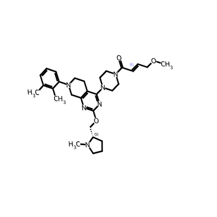 COC/C=C/C(=O)N1CCN(c2nc(OC[C@@H]3CCCN3C)nc3c2CCN(c2cccc(C)c2C)C3)CC1